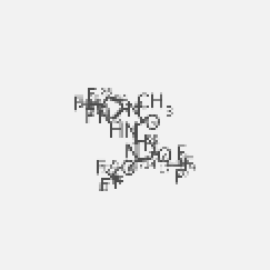 CN(C(=O)Nc1nc(OCC(F)(F)F)cc(OCC(F)(F)F)n1)c1ccc(C(F)(F)F)nc1